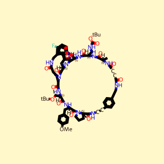 COc1ccc(C[C@@H]2NC(=O)[C@H]([C@@H](C)OC(C)(C)C)NC(=O)C3CCC(=O)NCc4cccc(c4)C[C@H](NC(=O)[C@@H](CNC(=O)OC(C)(C)C)NC(=O)[C@H](C)NC(=O)CCC(=O)NCc4ccc(cc4)CCNC(=O)[C@]4(C)CCCN4C2=O)C(=O)N[C@@H](Cc2c[nH]c4ccc(F)cc24)C(=O)N3C)cc1